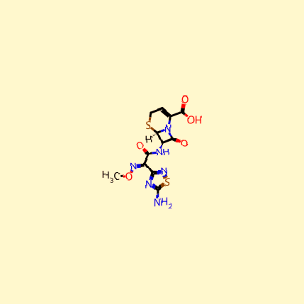 CO/N=C(/C(=O)N[C@@H]1C(=O)N2C(C(=O)O)=CCS[C@H]12)c1nsc(N)n1